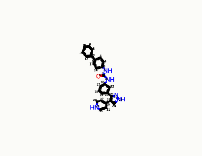 O=C(Nc1ccc(-c2ccccc2)cc1)Nc1cccc(-c2n[nH]cc2C2=CCNC=C2)c1